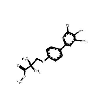 COC(=O)C(C)(C)COc1ccc(-c2cc(C)c(N)c(Cl)n2)cc1